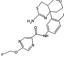 NC1=NC2(c3cc(NC(=O)c4cnc(OCF)cn4)ccc3F)CCOCC2CS1